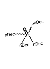 CCCCCCCCCCCCCCCCCCc1c(CCCCCCCCCCCCCCCCCC)c(CCCCCCCCCCCCCCCCCC)c2c(c1CCCCCCCCCCCCCCCCCC)=c1ccccc1=2